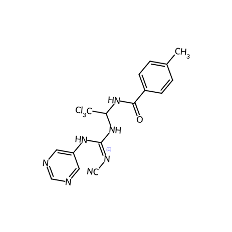 Cc1ccc(C(=O)NC(N/C(=N/C#N)Nc2cncnc2)C(Cl)(Cl)Cl)cc1